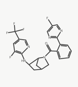 O=C(c1ccccc1-c1ncc(F)cn1)N1CC2CC(Nc3ncc(C(F)(F)F)cc3F)C1C2